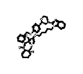 COc1c(OCCCCCn2c(N3CCOC(c4ccc(OCc5ccccc5)cc4)C3)nc3ccccc32)cn2c1C=[N+]([O-])C1=CCCC[C@H]1C2